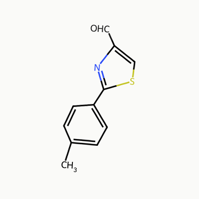 Cc1ccc(-c2nc(C=O)cs2)cc1